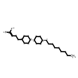 CCCCCCCCC[C@H]1CC[C@H](C2CCC(CCC=C(F)F)CC2)CC1